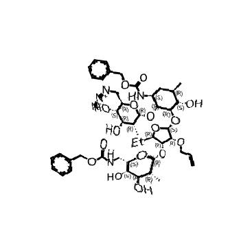 C=CCO[C@H]1[C@H](O[C@@H]2[C@@H](O)[C@H](C)C[C@H](NC(=O)OCc3ccccc3)[C@H]2O[C@H]2O[C@H](CN=[N+]=[N-])[C@@H](O)[C@H](O)[C@H]2C)O[C@H](CC)[C@H]1O[C@H]1O[C@@H](CNC(=O)OCc2ccccc2)[C@@H](O)[C@H](O)[C@H]1C